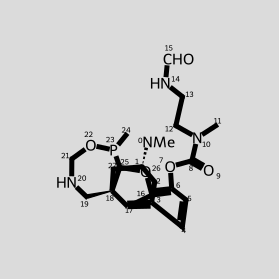 CN[C@@H]1Cc2ccc(OC(=O)N(C)CCNC=O)c3c2[C@]2(CNCOP(C)C2O3)C1